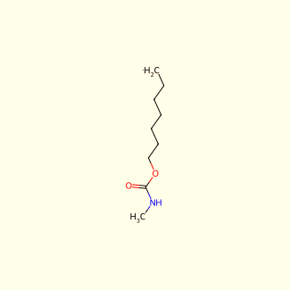 [CH2]CCCCCCOC(=O)NC